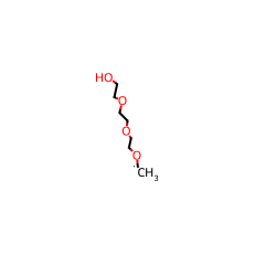 C[CH]OCCOCCOCCO